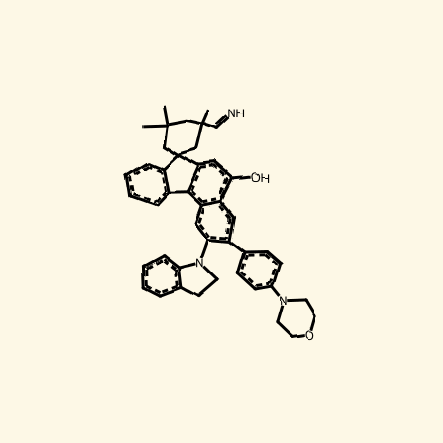 CC1(C)CC(C)(C=N)CC2(C1)c1ccccc1-c1c2cc(O)c2cc(-c3ccc(N4CCOCC4)cc3)c(N3CCc4ccccc43)cc12